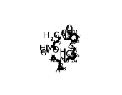 CC(CCC(=O)NC=O)N(C)Cc1c(C=O)cccc1SCc1ccc(CNC(C2CC2)C2CC2)o1